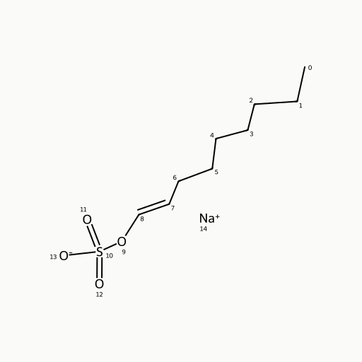 CCCCCCC/C=C/OS(=O)(=O)[O-].[Na+]